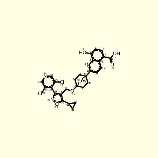 O=C(O)c1ccc(O)c2nc(C34CCC(OCc5c(-c6c(Cl)cncc6Cl)noc5C5CC5)(CC3)CC4)ccc12